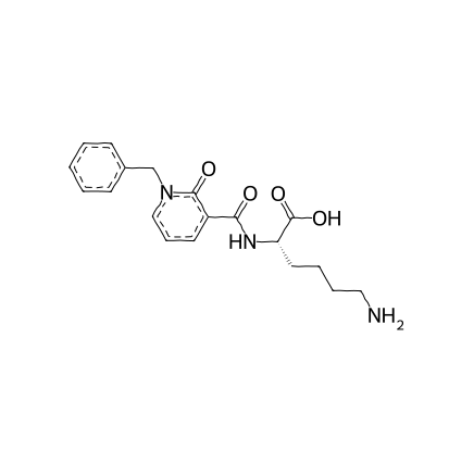 NCCCC[C@H](NC(=O)c1cccn(Cc2ccccc2)c1=O)C(=O)O